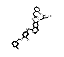 O=C(CC1CCS[S+]1[O-])Nc1cc2c(Nc3ccc(OCc4cccc(F)c4)c(Cl)c3)ncnc2cc1OCC(O)CO